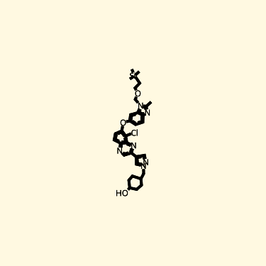 Cc1nc2ccc(Oc3ccc4ncc(-c5cnn(CC6CCC(O)CC6)c5)nc4c3Cl)cc2n1COCC[Si](C)(C)C